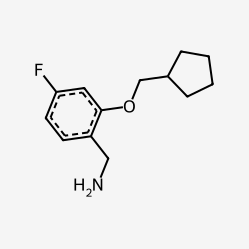 NCc1ccc(F)cc1OCC1CCCC1